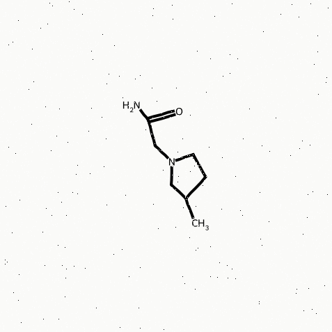 CC1CCN(CC(N)=O)C1